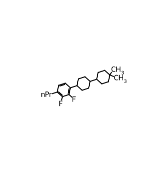 CCCc1ccc(C2CCC(C3CCC(C)(C)CC3)CC2)c(F)c1F